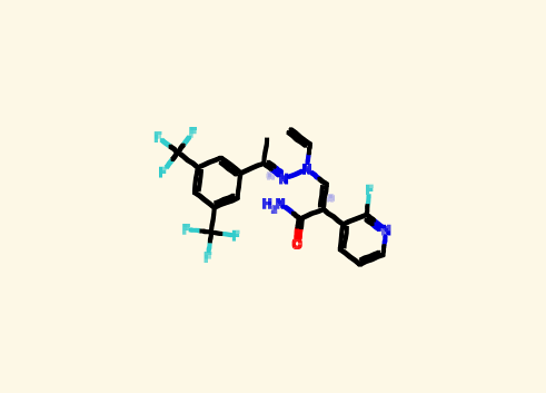 C=CN(/C=C(\C(N)=O)c1cccnc1F)/N=C(\C)c1cc(C(F)(F)F)cc(C(F)(F)F)c1